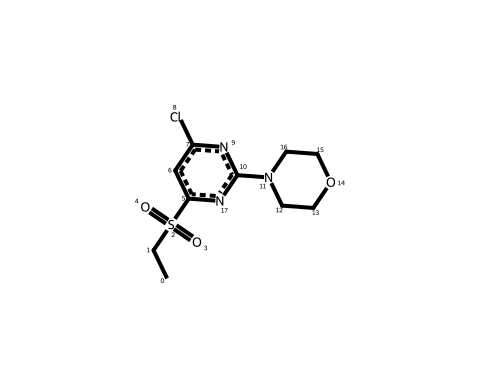 CCS(=O)(=O)c1cc(Cl)nc(N2CCOCC2)n1